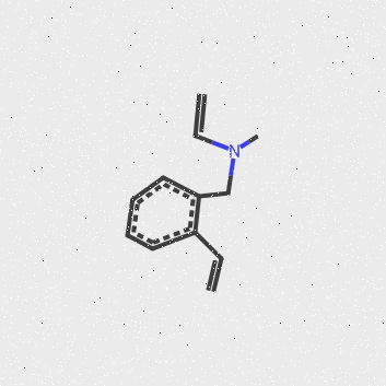 C=Cc1ccccc1CN(C)C=C